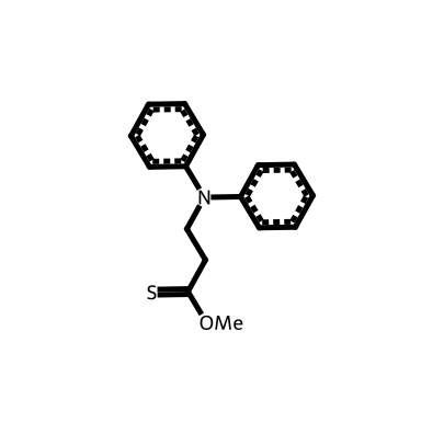 COC(=S)CCN(c1ccccc1)c1ccccc1